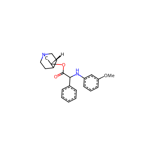 COc1cccc(NC(C(=O)O[C@H]2CN3CCC2CC3)c2ccccc2)c1